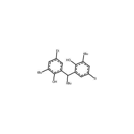 CCCCC(c1cc(CC)cc(C(C)(C)C)c1O)c1cc(CC)cc(C(C)(C)C)c1O